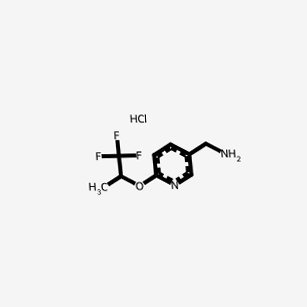 CC(Oc1ccc(CN)cn1)C(F)(F)F.Cl